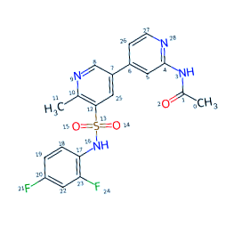 CC(=O)Nc1cc(-c2cnc(C)c(S(=O)(=O)Nc3ccc(F)cc3F)c2)ccn1